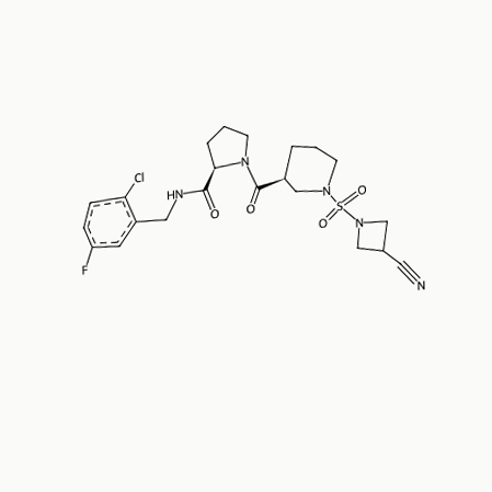 N#CC1CN(S(=O)(=O)N2CCC[C@H](C(=O)N3CCC[C@@H]3C(=O)NCc3cc(F)ccc3Cl)C2)C1